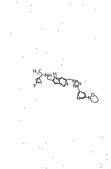 CC(NCc1cc2cnc(Cn3cnc(-c4cncc(N5CCCCO5)c4)n3)cc2[nH]1)C12CC(F)(C1)C2